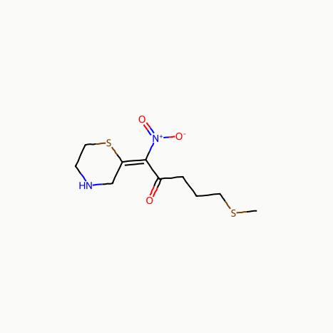 CSCCCC(=O)C(=C1CNCCS1)[N+](=O)[O-]